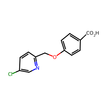 O=C(O)c1ccc(OCc2ccc(Cl)cn2)cc1